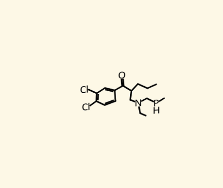 CCCC(CN(CC)CPC)C(=O)c1ccc(Cl)c(Cl)c1